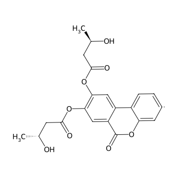 C[C@@H](O)CC(=O)Oc1cc2c(=O)oc3c[c]ccc3c2cc1OC(=O)C[C@@H](C)O